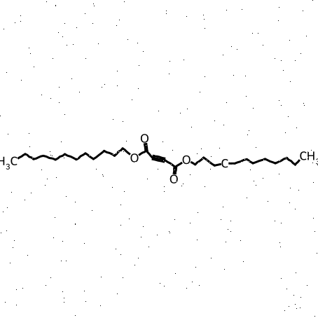 CCCCCCCCCCCCOC(=O)C#CC(=O)OCCCCCCCCCCCC